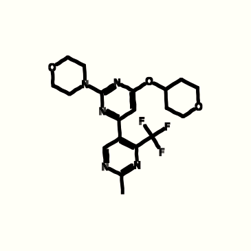 Cc1ncc(-c2cc(OC3CCOCC3)nc(N3CCOCC3)n2)c(C(F)(F)F)n1